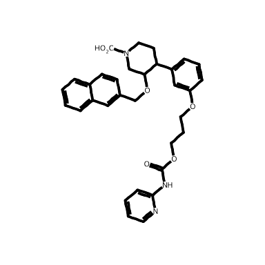 O=C(Nc1ccccn1)OCCCOc1cccc(C2CCN(C(=O)O)CC2OCc2ccc3ccccc3c2)c1